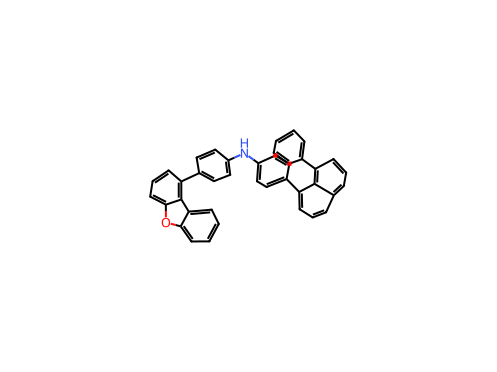 c1ccc(-c2cccc3cccc(-c4ccc(Nc5ccc(-c6cccc7oc8ccccc8c67)cc5)cc4)c23)cc1